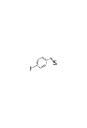 S=Cc1ccc(I)cc1